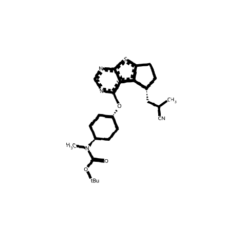 CC(C#N)C[C@H]1CCc2sc3ncnc(O[C@H]4CC[C@H](N(C)C(=O)OC(C)(C)C)CC4)c3c21